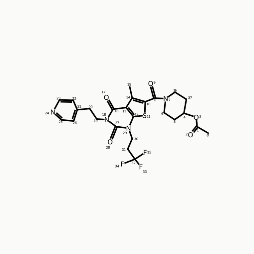 CC(=O)OC1CCN(C(=O)c2sc3c(c2C)c(=O)n(CCc2ccncc2)c(=O)n3CCC(F)(F)F)CC1